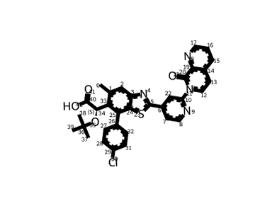 Cc1cc2nc(-c3ccnc(-n4ccc5cccnc5c4=O)c3)sc2c(-c2ccc(Cl)cc2)c1[C@H](OC(C)(C)C)C(=O)O